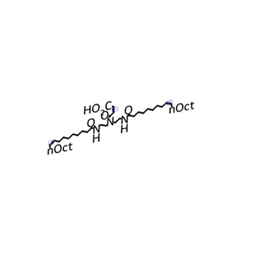 CCCCCCCC/C=C\CCCCCCCC(=O)NCCN(CCNC(=O)CCCCCCC/C=C\CCCCCCCC)C(=O)/C=C\C(=O)O